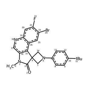 CN1C(=O)C2(CN(c3ccc(C(C)(C)C)cc3)C2)c2c1cnc1cc(F)c(Br)cc21